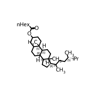 CCCCCCC(=O)OC1CC[C@@]2(C)C(CC[C@H]3[C@@H]4CC[C@H]([C@H](C)CC[C@H](C)C(C)C)[C@@]4(C)CC[C@@H]32)C1